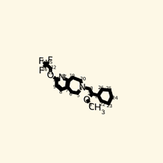 COC(CN1CCc2ccc(OCC(F)(F)F)nc2CC1)C1CCCCC1